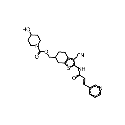 N#Cc1c(NC(=O)C=Cc2cccnc2)sc2c1CCC(COC(=O)N1CCC(O)CC1)C2